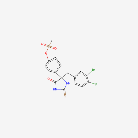 CS(=O)(=O)Oc1ccc(C2(Cc3ccc(F)c(Br)c3)NC(=S)NC2=O)cc1